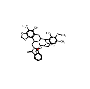 COc1c(C)cc2c(c1O)C1C3Cc4c(O)c(C)c5c(c4C(CN4C(=O)c6ccccc6C4=O)N3[C@@H](C#N)C(C2)N1C)OCO5